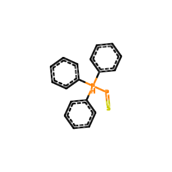 S=P[PH](c1ccccc1)(c1ccccc1)c1ccccc1